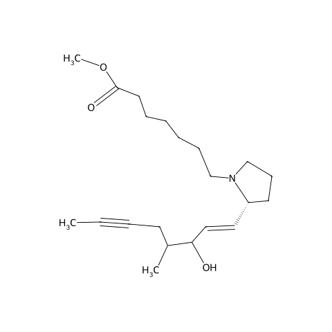 CC#CCC(C)C(O)/C=C/[C@H]1CCCN1CCCCCCC(=O)OC